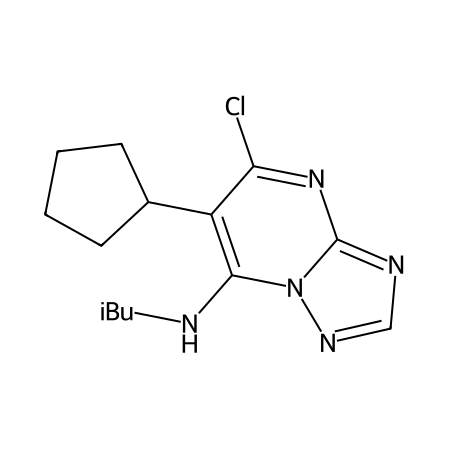 CCC(C)Nc1c(C2CCCC2)c(Cl)nc2ncnn12